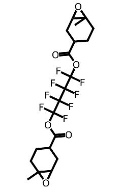 CC12CCC(C(=O)OC(F)(F)C(F)(F)C(F)(F)C(F)(F)OC(=O)C3CCC4(C)OC4C3)CC1O2